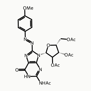 COc1ccc(/N=N/c2nc3c(=O)[nH]c(NC(C)=O)nc3n2[C@@H]2O[C@H](COC(C)=O)[C@H](OC(C)=O)C2OC(C)=O)cc1